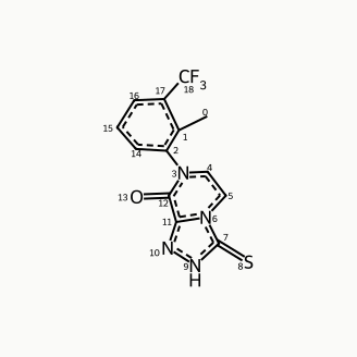 Cc1c(-n2ccn3c(=S)[nH]nc3c2=O)cccc1C(F)(F)F